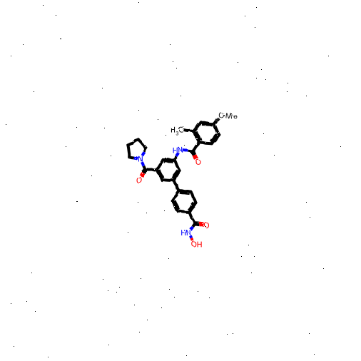 COc1ccc(C(=O)Nc2cc(C(=O)N3CCCC3)cc(-c3ccc(C(=O)NO)cc3)c2)c(C)c1